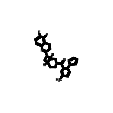 Cc1ccc(-n2cccn2)c(C(=O)N2CC[C@H]3CN(c4cnc5c(F)c(F)ccc5n4)[C@H]3C2)c1